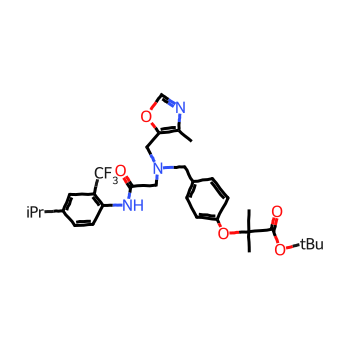 Cc1ncoc1CN(CC(=O)Nc1ccc(C(C)C)cc1C(F)(F)F)Cc1ccc(OC(C)(C)C(=O)OC(C)(C)C)cc1